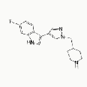 Fc1ccc2c(-c3cnn(CC4CCNCC4)c3)c[nH]c2c1